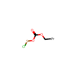 CC(C)COC(=O)OSCl